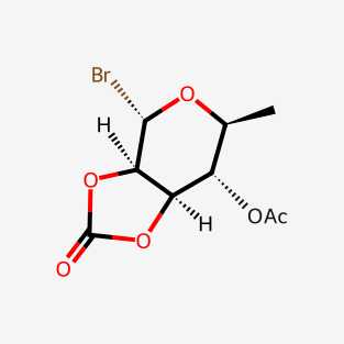 CC(=O)O[C@@H]1[C@H]2OC(=O)O[C@H]2[C@H](Br)O[C@H]1C